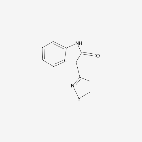 O=C1Nc2ccccc2C1c1ccsn1